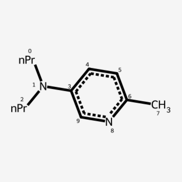 CCCN(CCC)c1ccc(C)nc1